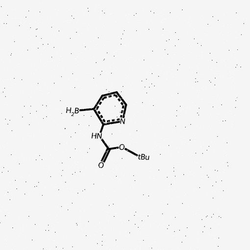 Bc1cccnc1NC(=O)OC(C)(C)C